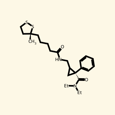 CCN(CC)C(=O)[C@]1(c2ccccc2)CC1CNC(=O)CCCC[C@]1(C)CCSS1